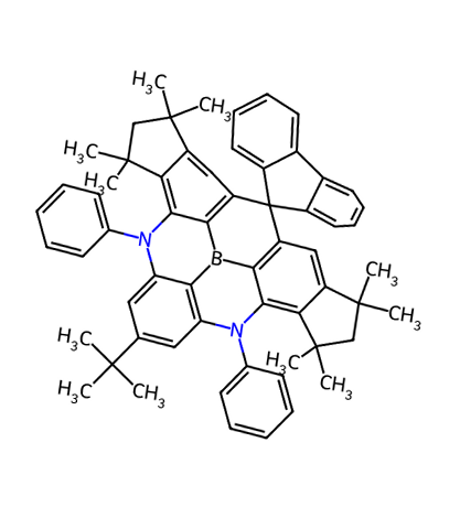 CC(C)(C)c1cc2c3c(c1)N(c1ccccc1)c1c4c(cc5c1C(C)(C)CC5(C)C)C1(c5ccccc5-c5ccccc51)c1cc5c(c(c1B34)N2c1ccccc1)C(C)(C)CC5(C)C